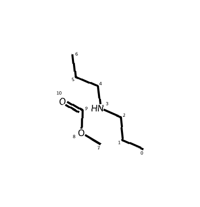 CCCNCCC.COC=O